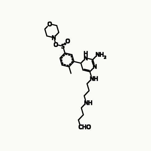 Cc1ccc(S(=O)ON2CCOCC2)cc1C1C=C(NCCCNCCCC=O)N=C(N)N1